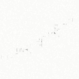 CCCCNC(=O)OCCNCCOC(=O)NCCCC